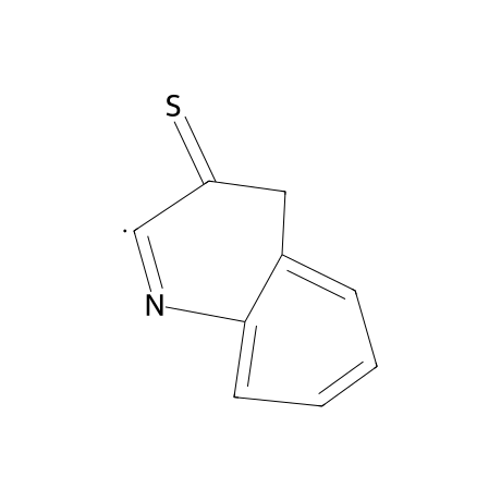 S=C1[C]=Nc2ccccc2C1